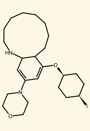 I[C@H]1CC[C@@H](OC2=CC(N3CCOCC3)=CC3NCCCCCCCCC23)CC1